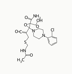 CC(=O)NCSCC(=C=O)C1(N2CCN(c3ccccc3Cl)CC2)OC1(C(N)=O)C(=O)O